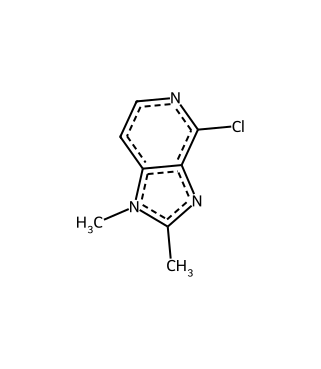 Cc1nc2c(Cl)nccc2n1C